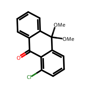 COC1(OC)c2ccccc2C(=O)c2c(Cl)cccc21